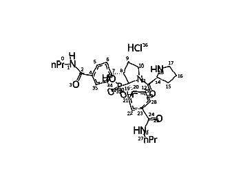 CCCNC(=O)c1ccc([C@@H]2CCN(C(=O)[C@@H]3CCCN3)[C@@]2(c2ccc(C(=O)NCCC)cc2)P(=O)(O)O)cc1.Cl